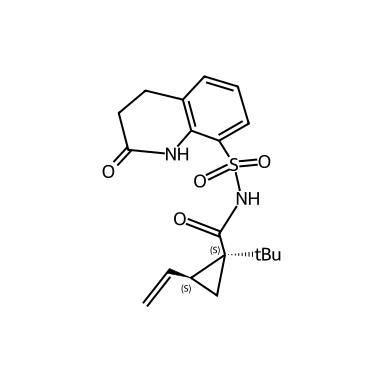 C=C[C@@H]1C[C@@]1(C(=O)NS(=O)(=O)c1cccc2c1NC(=O)CC2)C(C)(C)C